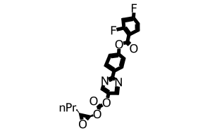 CCC[C@H]1O[C@@H]1OC(=O)Oc1cnc(-c2ccc(OC(=O)c3ccc(F)cc3F)cc2)nc1